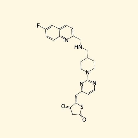 O=C1CC(=O)/C(=C/c2ccnc(N3CCC(CNCc4ccc5cc(F)ccc5n4)CC3)n2)S1